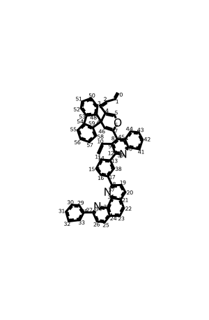 C=C/C=C\C1=COC(c2c(C=C)c(-c3cccc(-c4ccc5ccc6ccc(-c7ccccc7)nc6c5n4)c3)nc3ccccc23)=CC12c1ccccc1-c1ccccc12